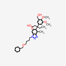 CCC(CC(=O)O)(c1cc(CO)c(OC)c(OC)c1)c1ccc2c(nnn2CCCCOCc2ccccc2)c1C